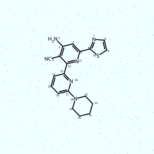 N#Cc1c(N)cc(-c2nccs2)nc1-c1cccc(N2CCCCC2)n1